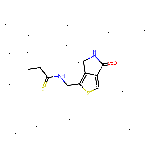 CCC(=S)NCc1scc2c1CNC2=O